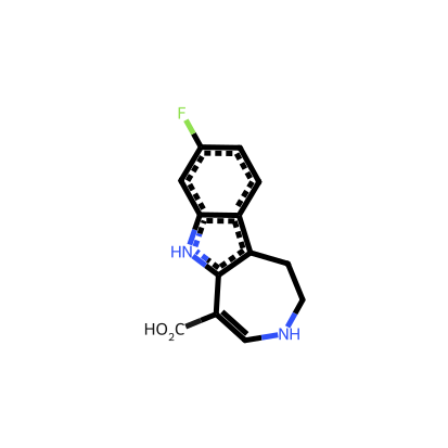 O=C(O)C1=CNCCc2c1[nH]c1cc(F)ccc21